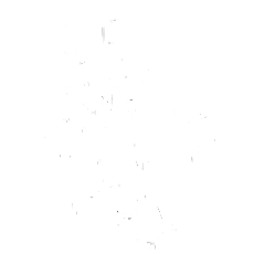 CC(C)(C)OC(=O)[C@@H](CN(Cc1ccccc1)Cc1ccccc1)CC1(C(=O)NC2(C(=O)O)Cc3ccccc3C2)CCCC1